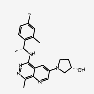 Cc1cc(F)ccc1[C@@H](C)Nc1nnc(C)c2ncc(N3CC[C@H](O)C3)cc12